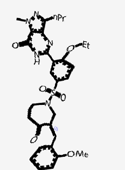 CCCc1nn(C)c2c(=O)[nH]c(-c3cc(S(=O)(=O)N4CCC(=O)/C(=C\c5ccccc5OC)C4)ccc3OCC)nc12